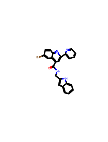 O=C(NCc1cc2ccccc2[nH]1)c1cc(-c2ccccn2)nc2ccc(Br)cc12